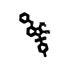 Cc1ccc(S(=O)(=O)n2c(C#N)c(N)c3c(Oc4ccccc4)cccc32)cc1